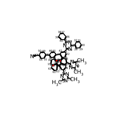 Cc1nc(C)nc(-c2ccc3c(c2)c2ccccc2n3-c2ccc(-c3nc(-c4ccccc4)nc(-c4ccccc4)n3)cc2-c2ccc(-c3ccc(C#N)cc3)cc2-n2c3ccccc3c3cc(-c4nc(C)nc(C)n4)ccc32)n1